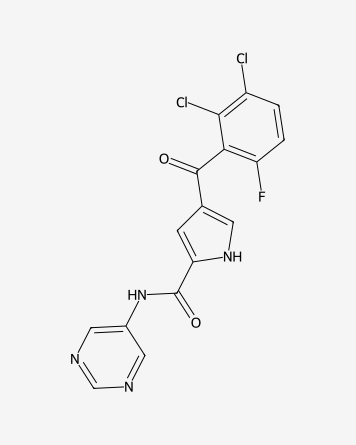 O=C(Nc1cncnc1)c1cc(C(=O)c2c(F)ccc(Cl)c2Cl)c[nH]1